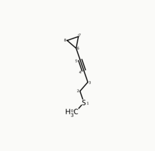 CSCCC#CC1[CH]C1